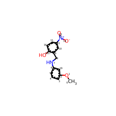 COc1cccc(NCc2cc([N+](=O)[O-])ccc2O)c1